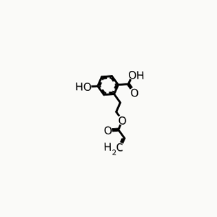 C=CC(=O)OCCc1cc(O)ccc1C(=O)O